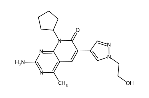 Cc1nc(N)nc2c1cc(-c1cnn(CCO)c1)c(=O)n2C1CCCC1